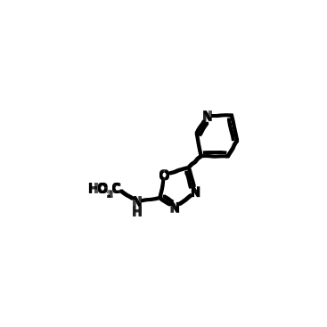 O=C(O)Nc1nnc(-c2cccnc2)o1